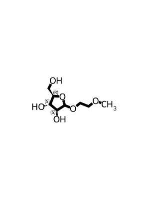 COCCOC1O[C@H](CO)[C@@H](O)[C@@H]1O